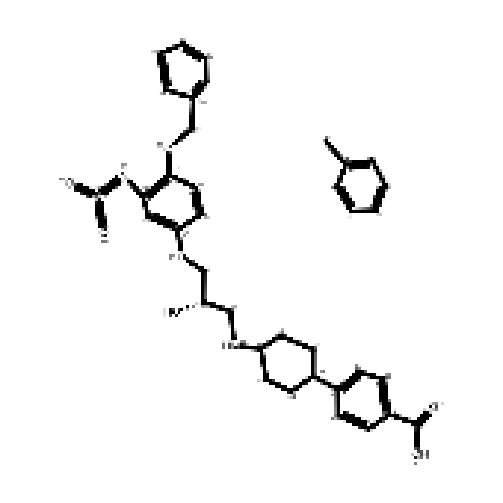 Cc1ccccc1.O=C(O)c1ccc(C2CCC(NC[C@H](O)COc3ccc(OCc4ccccc4)c(N=S(=O)=O)c3)CC2)cc1